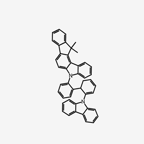 CC1(C)c2ccccc2-c2ccc3c(c21)c1ccccc1n3-c1ccccc1C1CC=CC=C1n1c2ccccc2c2ccccc21